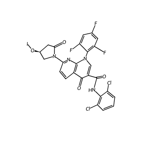 O=C(Nc1c(Cl)cccc1Cl)c1cn(-c2c(F)cc(F)cc2F)c2nc(N3C[C@@H](OI)CC3=O)ccc2c1=O